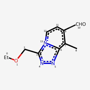 CCOCc1nnc2c(C)c(C=O)ccn12